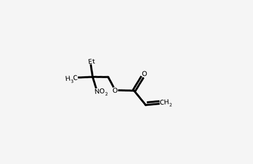 C=CC(=O)OCC(C)(CC)[N+](=O)[O-]